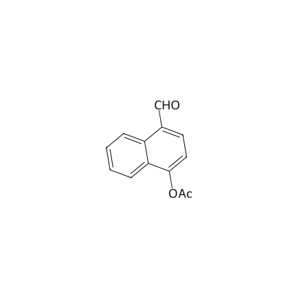 CC(=O)Oc1ccc(C=O)c2ccccc12